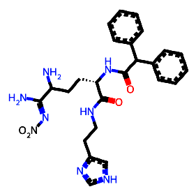 NC(=N[N+](=O)[O-])C(N)CC[C@H](NC(=O)C(c1ccccc1)c1ccccc1)C(=O)NCCc1c[nH]cn1